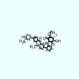 COc1cc(N2CCN[C@@H](C)C2)ccc1Nc1ncnc(-c2cccnc2Nc2c(Cl)c(O)cc(OC)c2Cl)n1